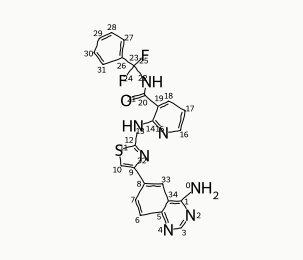 Nc1ncnc2ccc(-c3csc(Nc4ncccc4C(=O)NC(F)(F)c4ccccc4)n3)cc12